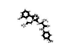 C=CCn1c(SC(C)C(=O)Nc2ccc(C(C)C)cc2)nnc1-c1cccc(F)c1